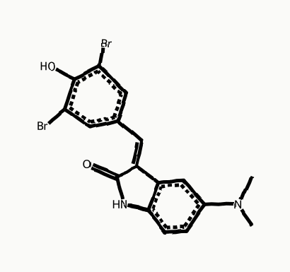 CN(C)c1ccc2c(c1)/C(=C/c1cc(Br)c(O)c(Br)c1)C(=O)N2